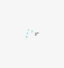 [F-].[F-].[F-].[F-].[U+4]